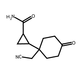 N#CCC1(C2CC2C(N)=O)CCC(=O)CC1